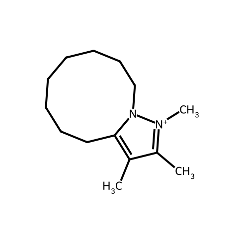 Cc1c2n([n+](C)c1C)CCCCCCCC2